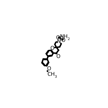 CCOc1cccc(-c2ccc3c(c2)C(=O)CC2(CCN(S(N)(=O)=O)CC2)O3)c1